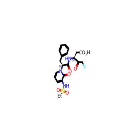 CCS(=O)(=O)Nc1cccn([C@@H](Cc2ccccc2)C(=O)N[C@@H](CC(=O)O)C(=O)CF)c1=O